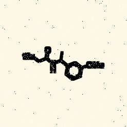 COc1cccc(C(C)NC(=O)CC(C)(C)C)c1